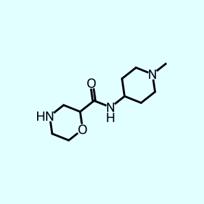 CN1CCC(NC(=O)C2CNCCO2)CC1